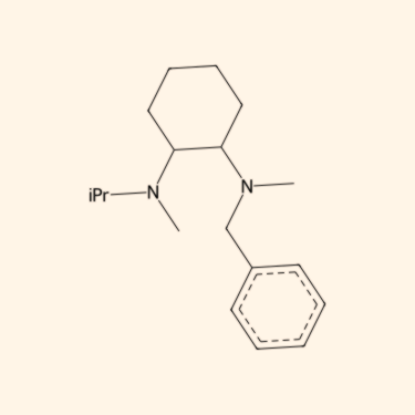 CC(C)N(C)C1CCCCC1N(C)Cc1ccccc1